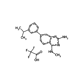 CNc1nc(N)nc2cc(-c3cccc(C(C)C)c3)ccc12.O=C(O)C(F)(F)F